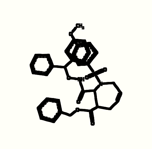 COc1ccc(S(=O)(=O)N2CC=CCC(C(=O)OCc3ccccc3)C2C(=O)NOC(c2ccccc2)c2ccccc2)cc1